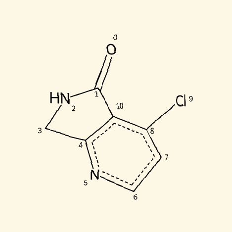 O=C1NCc2nccc(Cl)c21